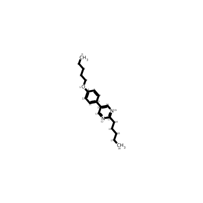 CCCCCOc1ccc(-c2cnc(CCCCC)nc2)cc1